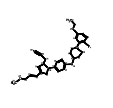 CCOc1ccc(F)c(N2CCC(Oc3ccc(N4CC(C=CCOC)=CC4CC#N)cc3)CC2)c1